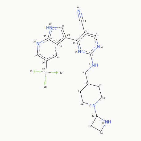 N#Cc1cnc(NCC2CCN(C3CCN3)CC2)nc1-c1c[nH]c2ncc(C(F)(F)F)cc12